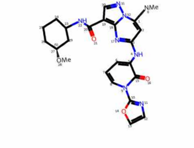 CNc1cc(Nc2cccn(-c3ncco3)c2=O)nc2c(C(=O)NC3CCC[C@H](OC)C3)cnn12